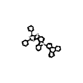 c1ccc(-c2nc(-c3ccccc3)c3oc4ccc5c(c6ccccc6n5-c5ccc6c7ccccc7c7ccccc7c6c5)c4c3n2)cc1